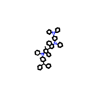 Cc1cc(N(c2ccc(C(c3ccccc3)c3ccccc3)cc2)C2C=CC=CC2)c2ccccc2c1-c1ccc(N(c2ccccc2)c2ccc(N(c3ccccc3)c3ccccc3)cc2)c2ccccc12